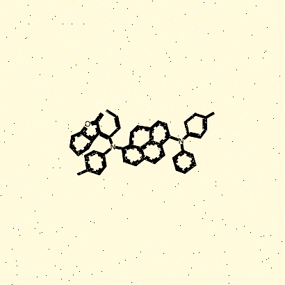 C=c1oc2ccccc2/c1=C(/C=C\C)N(c1ccc(C)cc1)c1ccc2ccc3c(N(C4=CC=C(C)CC4)c4ccccc4)ccc4ccc1c2c43